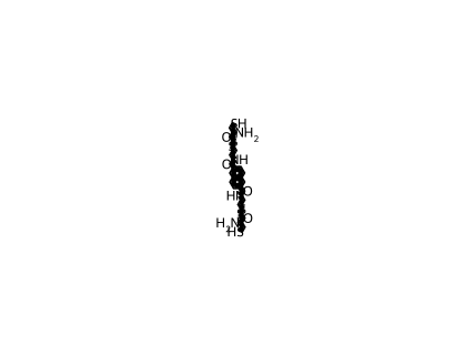 N[C@@H](CS)C(=O)SSCCNC(=O)c1ccc2cc(C(=O)NCCSSC(=O)[C@@H](N)CS)ccc2c1